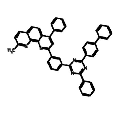 Cc1ccc2ccc3c(-c4ccccc4)cc(-c4cccc(-c5nc(-c6ccccc6)nc(-c6ccc(-c7ccccc7)cc6)n5)c4)nc3c2n1